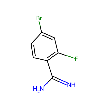 N=C(N)c1ccc(Br)cc1F